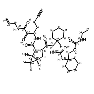 C#CCCC(NC(=O)[C@@H]1[C@@H]2[C@H](CN1C(=O)[C@@H](NC(=O)NC1(COC(=O)NCC)CCCCC1)C1(C)CCCCC1)C2(C)C)C(=O)C(=O)NCC=C